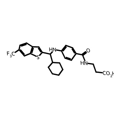 O=C(O)CCNC(=O)c1ccc(NC(c2cc3ccc(C(F)(F)F)cc3s2)C2CCCCC2)cc1